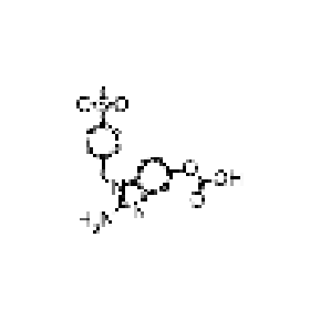 CS(=O)(=O)c1ccc(Cn2c(N)nc3cc(OC(=O)O)ccc32)cc1